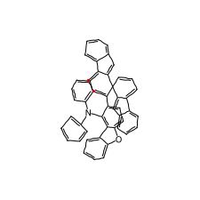 C1=CC2(C3=Cc4ccccc4C3=C1)C1=Cc3ccccc3C1=CC=C2c1ccc2oc3ccccc3c2c1N(c1ccccc1)c1ccccc1